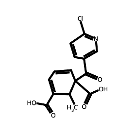 CC1C(C(=O)O)=CC=CC1(C(=O)O)C(=O)c1ccc(Cl)nc1